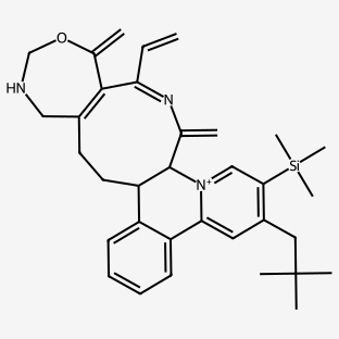 C=C/C1=N/C(=C)C2C(CCC3=C1C(=C)OCNC3)c1ccccc1-c1cc(CC(C)(C)C)c([Si](C)(C)C)c[n+]12